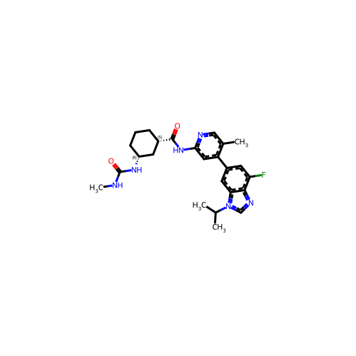 CNC(=O)N[C@@H]1CCC[C@H](C(=O)Nc2cc(-c3cc(F)c4ncn(C(C)C)c4c3)c(C)cn2)C1